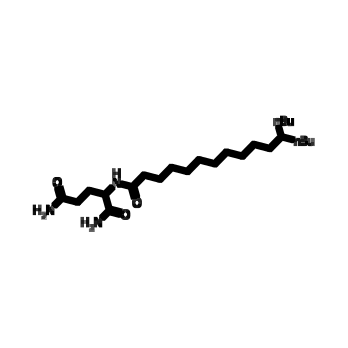 CCCCC(CCCC)CCCCCCCCCCC(=O)NC(CCC(N)=O)C(N)=O